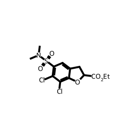 CCOC(=O)C1Cc2cc(S(=O)(=O)N(C)C)c(Cl)c(Cl)c2O1